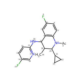 CC(=O)N1c2ccc(F)cc2C(Nc2ccc(F)cn2)C(C)C1C1CC1